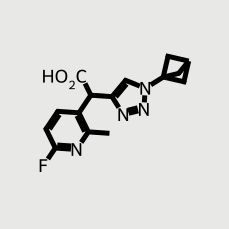 Cc1nc(F)ccc1C(C(=O)O)c1cn(C23CC(C2)C3)nn1